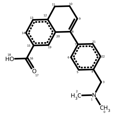 CN(C)Cc1ccc(C2=CCCc3ccc(C(=O)O)cc32)cc1